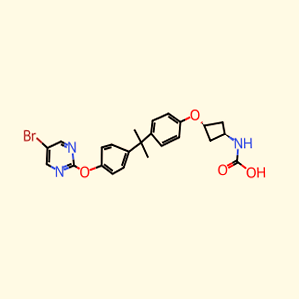 CC(C)(c1ccc(Oc2ncc(Br)cn2)cc1)c1ccc(O[C@H]2C[C@H](NC(=O)O)C2)cc1